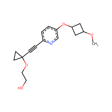 COC1CC(Oc2ccc(C#CC3(OCCO)CC3)nc2)C1